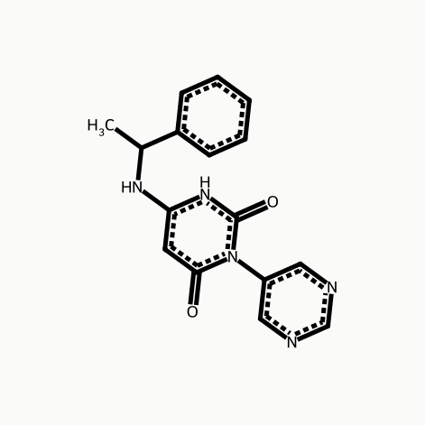 CC(Nc1cc(=O)n(-c2cncnc2)c(=O)[nH]1)c1ccccc1